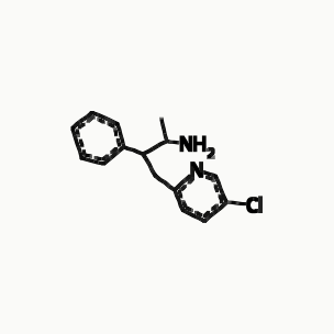 CC(N)C(Cc1ccc(Cl)cn1)c1ccccc1